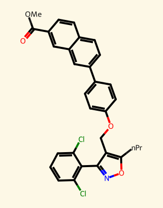 CCCc1onc(-c2c(Cl)cccc2Cl)c1COc1ccc(-c2ccc3ccc(C(=O)OC)cc3c2)cc1